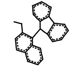 CCc1ccc2ccccc2c1C1c2ccccc2-c2ccccc21